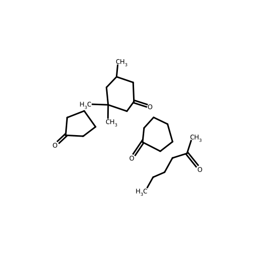 CC1CC(=O)CC(C)(C)C1.CCCCC(C)=O.O=C1CCCC1.O=C1CCCCC1